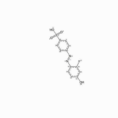 O=S(=O)(O)c1ccc(/N=N/c2ccc(O)cc2F)cc1